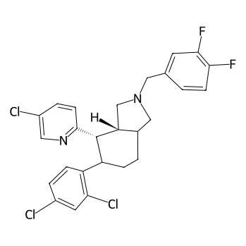 Fc1ccc(CN2CC3CCC(c4ccc(Cl)cc4Cl)[C@H](c4ccc(Cl)cn4)[C@@H]3C2)cc1F